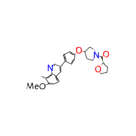 COc1ccc2cc(-c3ccc(OC4CCN(C(=O)[C@H]5CCCO5)CC4)cc3)cnc2c1C